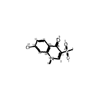 Cn1cc(S(C)(=O)=O)c(=O)c2ccc(Cl)cc21